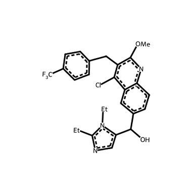 CCc1ncc(C(O)c2ccc3nc(OC)c(Cc4ccc(C(F)(F)F)cc4)c(Cl)c3c2)n1CC